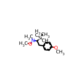 COc1ccc(CC(N(C)OC)[Si](C)(C)C)cc1